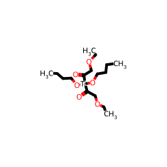 CCCC[O][Ti]([O]CCCC)([C](=O)COCC)[C](=O)COCC